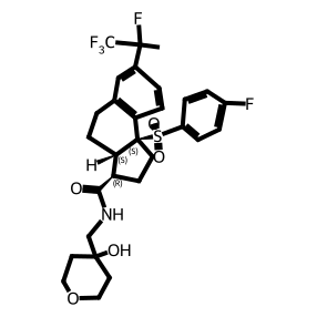 CC(F)(c1ccc2c(c1)CC[C@H]1[C@H](C(=O)NCC3(O)CCOCC3)CC[C@@]21S(=O)(=O)c1ccc(F)cc1)C(F)(F)F